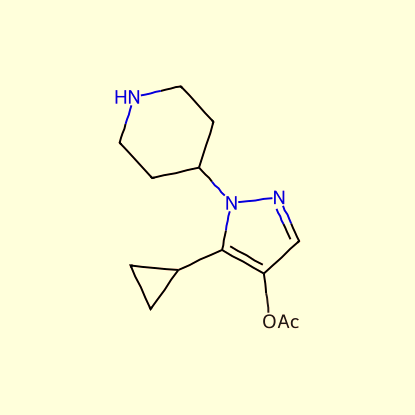 CC(=O)Oc1cnn(C2CCNCC2)c1C1CC1